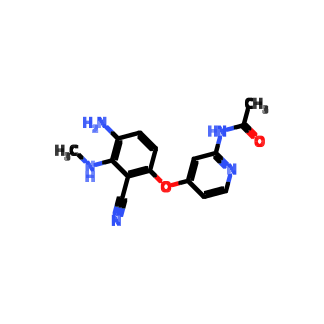 CNc1c(N)ccc(Oc2ccnc(NC(C)=O)c2)c1C#N